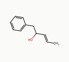 C/C=C/C(O)Cc1ccccc1